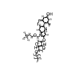 CC(C)(C)[Si](C)(C)O[C@@H]1CO[C@H]2[C@@H]1OC[C@H]2Oc1cc2nc(-c3c(F)cc(O)cc3F)c(F)cc2n1COCC[Si](C)(C)C